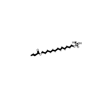 CC=CC(=O)OCCCCCCCCCCCCCOP(=O)(O)O